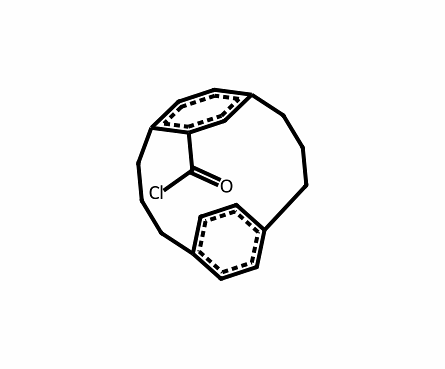 O=C(Cl)c1cc2ccc1CCCc1ccc(cc1)CCC2